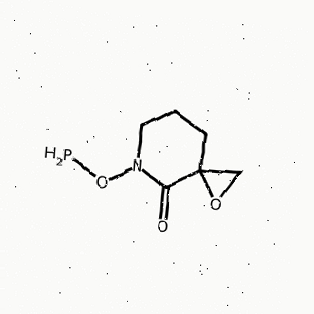 O=C1N(OP)CCCC12CO2